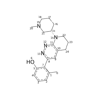 Cc1cccc(O)c1-c1cc2c(nn1)N([C@H]1CCCN(C)C1)CCC2